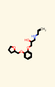 C=CCNCC(O)COc1ccccc1OCC1CCCO1